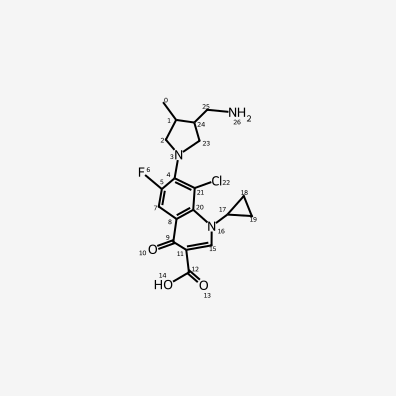 CC1CN(c2c(F)cc3c(=O)c(C(=O)O)cn(C4CC4)c3c2Cl)CC1CN